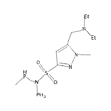 CCN(CC)Cc1cc(S(=O)(=O)N(P)PC)nn1C